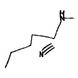 C#N.CCCCCNC